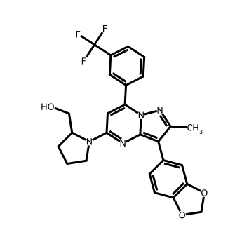 Cc1nn2c(-c3cccc(C(F)(F)F)c3)cc(N3CCCC3CO)nc2c1-c1ccc2c(c1)OCO2